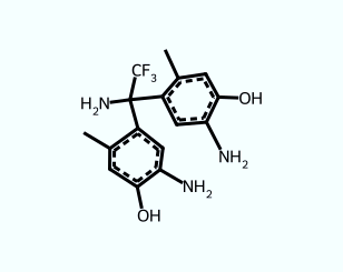 Cc1cc(O)c(N)cc1C(N)(c1cc(N)c(O)cc1C)C(F)(F)F